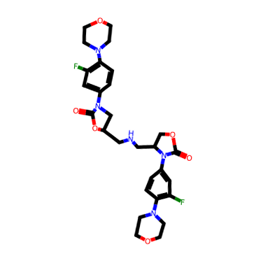 O=C1OC(CNCC2COC(=O)N2c2ccc(N3CCOCC3)c(F)c2)CN1c1ccc(N2CCOCC2)c(F)c1